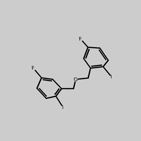 Fc1ccc(I)c(COCc2cc(F)ccc2I)c1